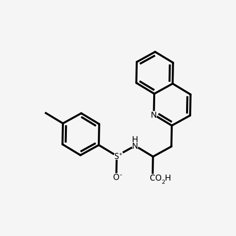 Cc1ccc([S+]([O-])NC(Cc2ccc3ccccc3n2)C(=O)O)cc1